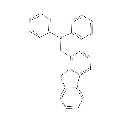 c1ccc(P(Cc2cccc3c2Cc2ccccc2-3)c2ccccc2)cc1